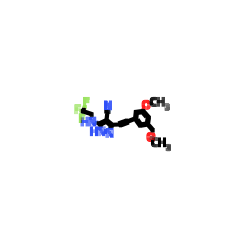 COCc1cc(C#Cc2n[nH]c(NCC(F)(F)F)c2C#N)cc(OC)c1